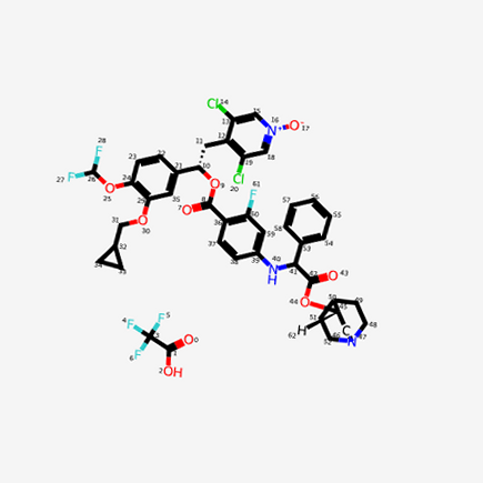 O=C(O)C(F)(F)F.O=C(O[C@@H](Cc1c(Cl)c[n+]([O-])cc1Cl)c1ccc(OC(F)F)c(OCC2CC2)c1)c1ccc(NC(C(=O)O[C@H]2CN3CCC2CC3)c2ccccc2)cc1F